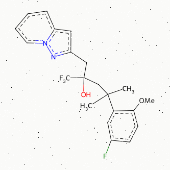 COc1ccc(F)cc1C(C)(C)CC(O)(Cc1cc2ccccn2n1)C(F)(F)F